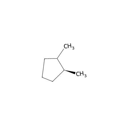 CC1CCC[C@@H]1C